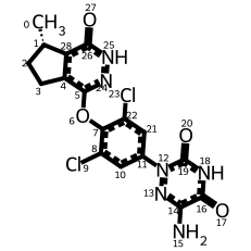 C[C@H]1CCc2c(Oc3c(Cl)cc(-n4nc(N)c(=O)[nH]c4=O)cc3Cl)n[nH]c(=O)c21